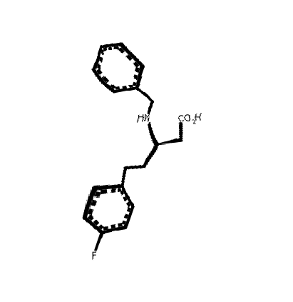 O=C(O)C[C@@H](CCc1ccc(F)cc1)NCc1ccccc1